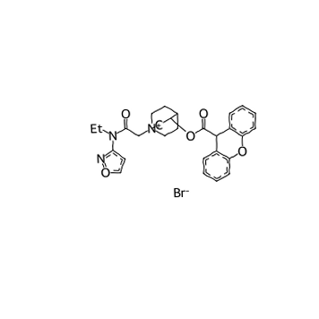 CCN(C(=O)C[N+]12CCC(CC1)C(OC(=O)C1c3ccccc3Oc3ccccc31)C2)c1ccon1.[Br-]